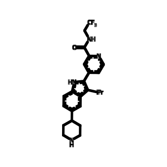 CC(C)c1c(-c2ccnc(C(=O)NCC(F)(F)F)c2)[nH]c2ccc(C3CCNCC3)cc12